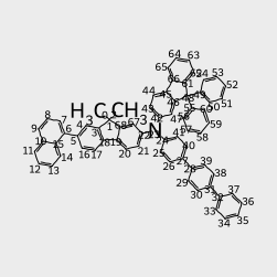 CC1(C)c2cc(-c3cccc4ccccc34)ccc2-c2ccc(N(c3ccc(-c4ccc(-c5ccccc5)cc4)cc3)c3ccc4c(c3)C(c3ccccc3)(c3ccccc3)c3ccccc3-4)cc21